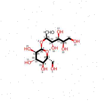 O=C[C@H](O[C@H]1O[C@H](CO)[C@@H](O)[C@H](O)[C@H]1O)[C@@H](O)[C@@H](O)[C@H](O)CO